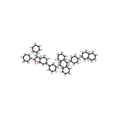 c1ccc(-c2oc3cc(-c4cccc(-c5c6ccccc6c(-c6ccc(-c7ccc8ccccc8c7)cc6)c6ccccc56)c4)ccc3c2-c2ccccc2)cc1